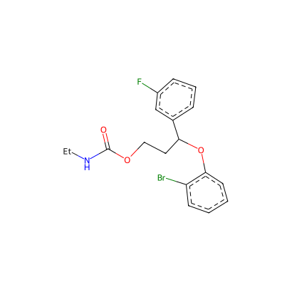 CCNC(=O)OCCC(Oc1ccccc1Br)c1cccc(F)c1